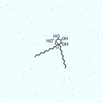 CCCCCCCCCCOC1(CCCCCCCCCC)O[C@H](CO)[C@H](O)[C@H](O)[C@H]1O